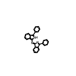 c1ccc(C2=NC(=Nc3[nH]c(-c4ccccc4)c4ccccc34)c3ccccc32)cc1